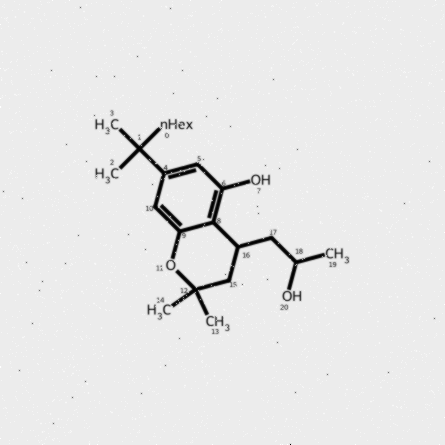 CCCCCCC(C)(C)c1cc(O)c2c(c1)OC(C)(C)CC2CC(C)O